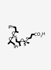 CC(C)CC(C)OP(OC(C)CC(C)C)SCC(C)OP(C)(=S)SCCC(=O)O